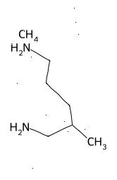 C.CC(CN)CCCN